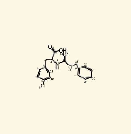 O=C(N[C@@H](Cc1ccc(Cl)cc1)C(=O)O)OCc1ccccc1